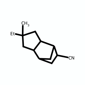 CCC1(C)CC2C3CC(C#N)C(C3)C2C1